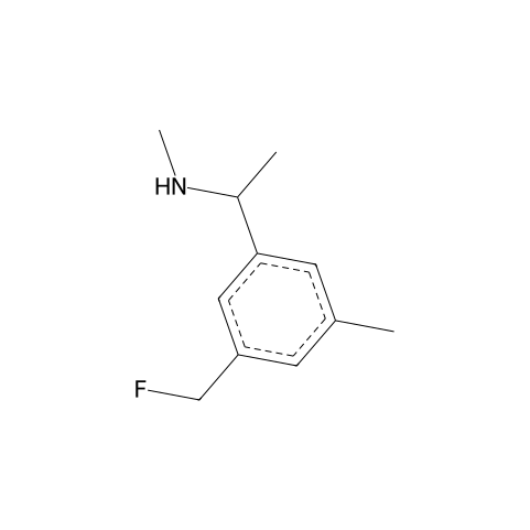 CNC(C)c1cc(C)cc(CF)c1